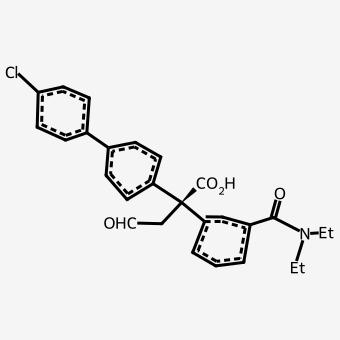 CCN(CC)C(=O)c1cccc([C@@](CC=O)(C(=O)O)c2ccc(-c3ccc(Cl)cc3)cc2)c1